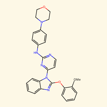 COc1ccccc1Oc1nc2ccccc2n1-c1ccnc(Nc2ccc(N3CCOCC3)cc2)n1